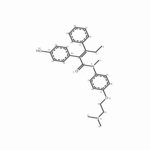 CCC(=C(C(=O)N(C)c1ccc(OCCN(C)C)cc1)c1ccc(O)cc1)c1ccccc1